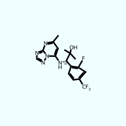 Cc1cc(N[C@@H](c2ccc(C(F)(F)F)cc2F)C(C)(C)O)n2ncnc2n1